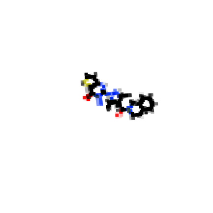 Cc1nn(-c2nc3ccsc3c(=O)[nH]2)c(C)c1C(=O)N1CCc2ccccc2C1